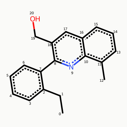 CCc1ccccc1-c1nc2c(C)cccc2cc1CO